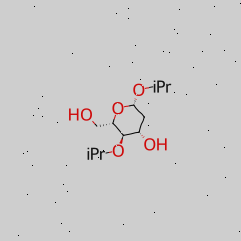 CC(C)O[C@@H]1C[C@H](O)[C@@H](OC(C)C)[C@H](CO)O1